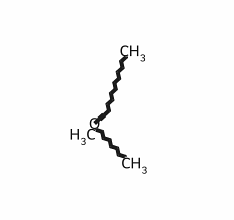 CCCCCCCCCCCCC#COC(C)CCCCCCCC